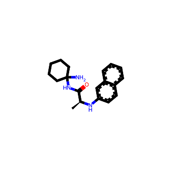 C[C@H](Nc1ccc2ccccc2c1)C(=O)NC1(N)CCCCC1